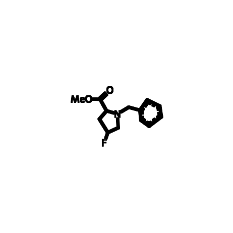 COC(=O)C1CC(F)CN1Cc1ccccc1